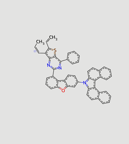 C=Cc1sc2c(-c3ccccc3)nc(-c3cccc4oc5cc(-n6c7ccc8ccccc8c7c7c8ccccc8ccc76)ccc5c34)nc2c1/C=C\C